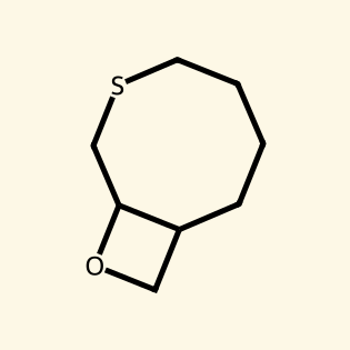 C1CCC2COC2CSC1